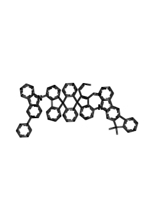 C=CC1=C(/C=C\C)C2(c3ccccc3C3(c4ccccc4-c4c(-n5c6ccccc6c6cc(-c7ccccc7)ccc65)cccc43)c3ccccc32)c2cccc(-n3c4ccccc4c4cc5c(cc43)C(C)(C)c3ccccc3-5)c21